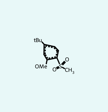 COc1cc(C(C)(C)C)ccc1S(C)(=O)=O